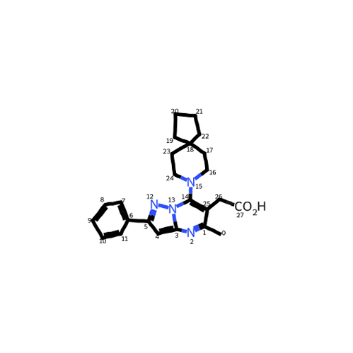 Cc1nc2cc(-c3ccccc3)nn2c(N2CCC3(CCCC3)CC2)c1CC(=O)O